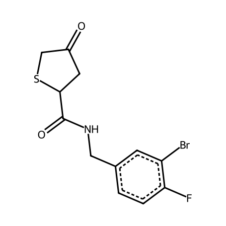 O=C1CSC(C(=O)NCc2ccc(F)c(Br)c2)C1